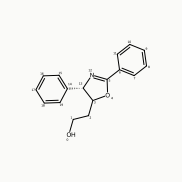 OCCC1OC(c2ccccc2)=N[C@H]1c1ccccc1